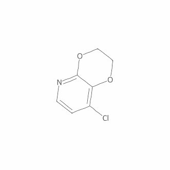 Clc1ccnc2c1OCCO2